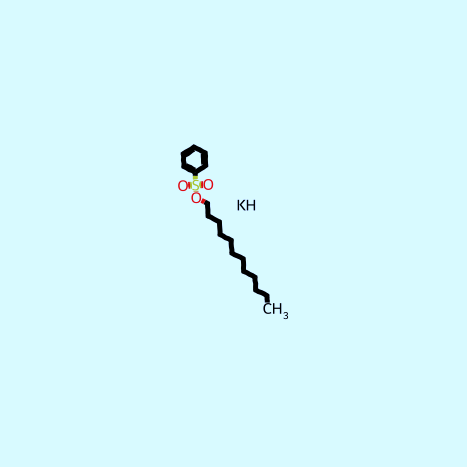 CCCCCCCCCCCCOS(=O)(=O)c1ccccc1.[KH]